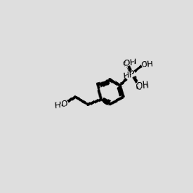 OCCc1ccc([PH](O)(O)O)cc1